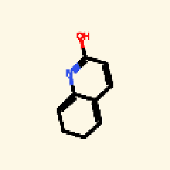 Oc1ccc2c(n1)=CCCC=2